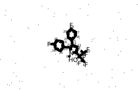 Cn1c(C(O)(C(F)(F)F)C(F)(F)F)cc(-c2ccc(F)cc2)c1-c1ccc(F)cc1